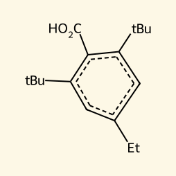 CCc1cc(C(C)(C)C)c(C(=O)O)c(C(C)(C)C)c1